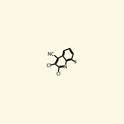 N#Cc1c(Cl)c(Cl)nc2c(F)cccc12